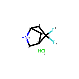 Cl.FC1(F)CC2CC1CN2